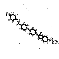 CCCCOc1ccc2cc(-c3ccc(-c4ccc(COc5ccc(F)cc5)cc4)cc3)sc2c1